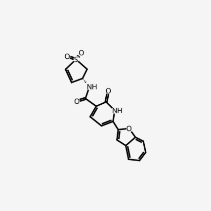 O=C(N[C@@H]1C=CS(=O)(=O)C1)c1ccc(-c2cc3ccccc3o2)[nH]c1=O